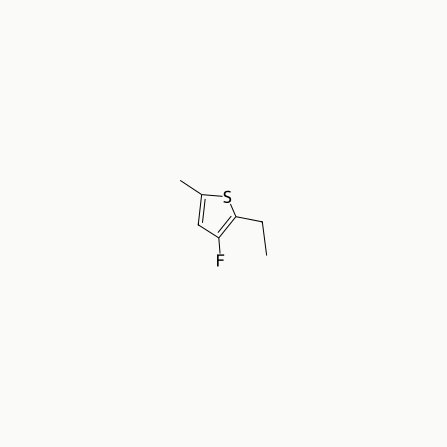 CCc1sc(C)cc1F